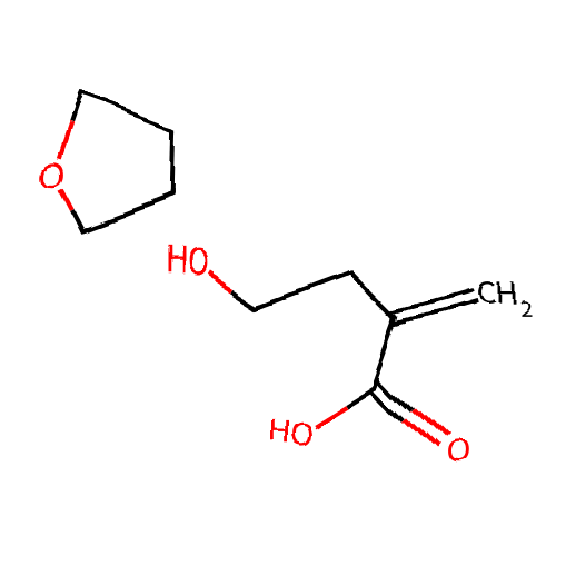 C1CCOC1.C=C(CCO)C(=O)O